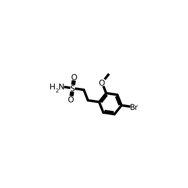 COc1cc(Br)ccc1CCS(N)(=O)=O